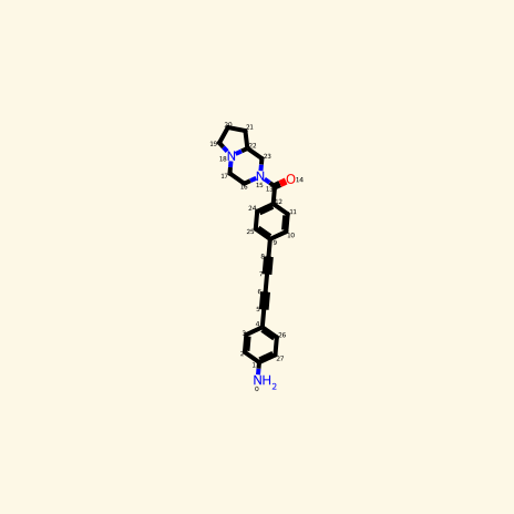 Nc1ccc(C#CC#Cc2ccc(C(=O)N3CCN4CCCC4C3)cc2)cc1